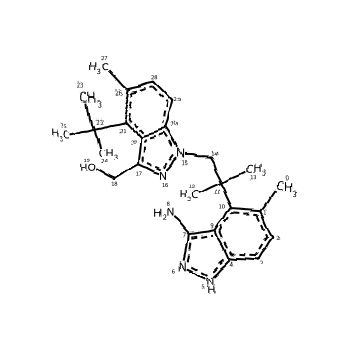 Cc1ccc2[nH]nc(N)c2c1C(C)(C)Cn1nc(CO)c2c(C(C)(C)C)c(C)ccc21